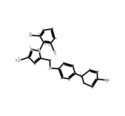 OC1=CCC(c2ccc(OCc3cc(C(F)(F)F)nn3-c3c(Cl)cccc3Cl)cc2)C=C1